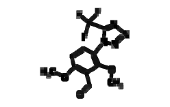 COc1ccc(-n2nnnc2C(F)(F)F)c(OC)c1C=O